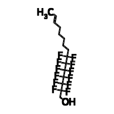 C/C=C/CCCCCC(F)(F)C(F)(F)C(F)(F)C(F)(F)C(F)(F)C(F)(F)CO